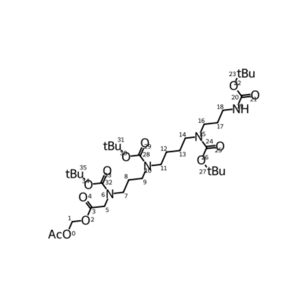 CC(=O)OCOC(=O)CN(CCCN(CCCCN(CCCNC(=O)OC(C)(C)C)C(=O)OC(C)(C)C)C(=O)OC(C)(C)C)C(=O)OC(C)(C)C